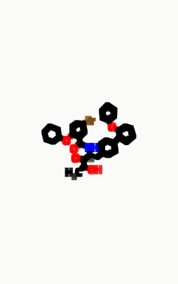 CC(O)C(=O)[C@H](Cc1ccc(-c2ccccc2Oc2ccccc2)cc1)NC(=O)c1cc(Br)ccc1OC1CCCCC1